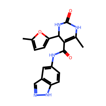 CC1=C(C(=O)Nc2ccc3[nH]ncc3c2)C(c2ccc(C)o2)NC(=O)N1